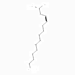 CCCCCC[C@@H](O)C/C=C\CCCCCCCCCC(=O)O